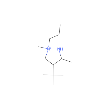 CCC[N+]1(C)CC(C(C)(C)C)C(C)N1